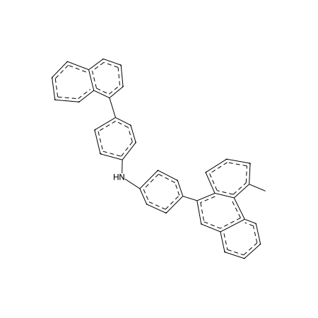 Cc1cccc2c(-c3ccc(Nc4ccc(-c5cccc6ccccc56)cc4)cc3)cc3ccccc3c12